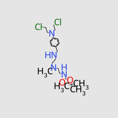 CN(CCNCc1ccc(N(CCCl)CCCl)cc1)CCNC(=O)OC(C)(C)C